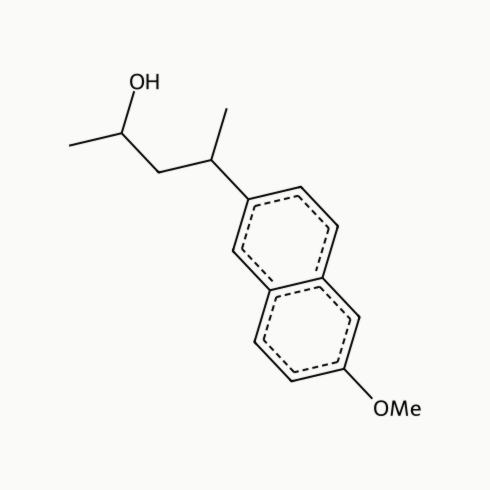 COc1ccc2cc(C(C)CC(C)O)ccc2c1